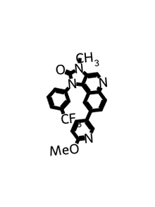 COc1ccc(-c2ccc3ncc4c(c3c2)n(-c2cccc(C(F)(F)F)c2)c(=O)n4C)cn1